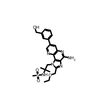 CCOCc1nc2c(N)nc3cc(-c4cccc(CO)c4)cnc3c2n1CC(C)(C)NS(C)(=O)=O